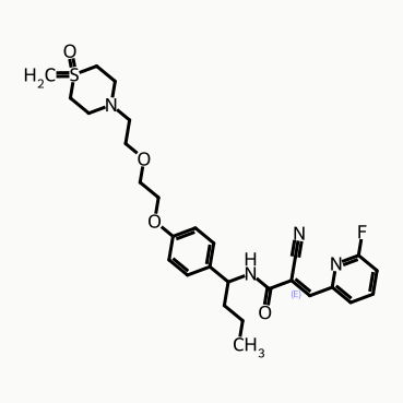 C=S1(=O)CCN(CCOCCOc2ccc(C(CCC)NC(=O)/C(C#N)=C/c3cccc(F)n3)cc2)CC1